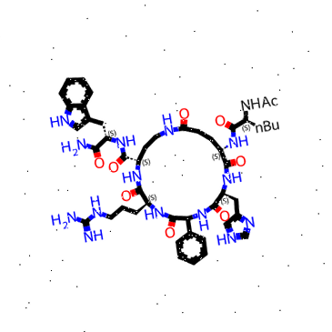 CCCC[C@H](NC(C)=O)C(=O)N[C@H]1CCC(=O)NCC[C@@H](C(=O)N[C@@H](Cc2c[nH]c3ccccc23)C(N)=O)NC(=O)[C@H](CCCNC(=N)N)NC(=O)C(c2ccccc2)NC(=O)[C@H](Cc2c[nH]cn2)NC1=O